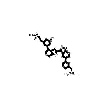 CN(C)Cc1cncc(-c2cnc3[nH]nc(-c4cc5c(-c6cc(F)cc(CCS(N)(=O)=O)c6)cncc5[nH]4)c3c2)c1